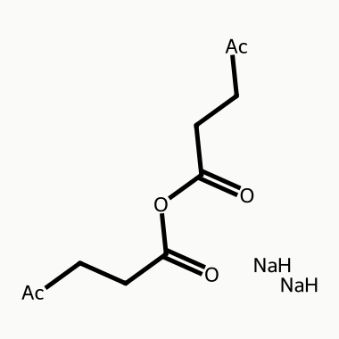 CC(=O)CCC(=O)OC(=O)CCC(C)=O.[NaH].[NaH]